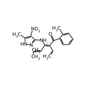 C=C/C(C(=O)c1ccccc1C)=C(\C=C(C)C)Nc1n[nH]c(C)c1[N+](=O)[O-]